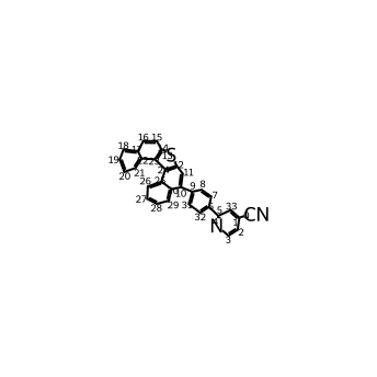 N#Cc1ccnc(-c2ccc(-c3cc4sc5ccc6ccccc6c5c4c4ccccc34)cc2)c1